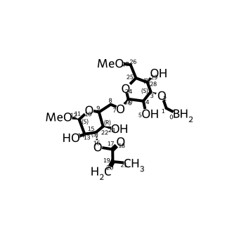 BCO[C@@H]1C(O)[C@@H](OCC2O[C@H](OC)C(O)[C@@H](OC(=O)C(=C)C)[C@@H]2O)OC(COC)[C@H]1O